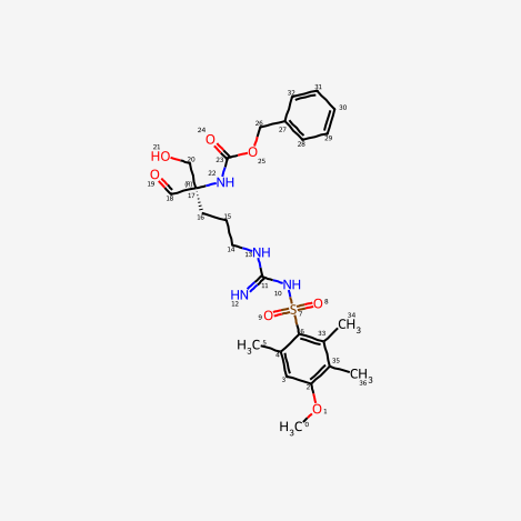 COc1cc(C)c(S(=O)(=O)NC(=N)NCCC[C@](C=O)(CO)NC(=O)OCc2ccccc2)c(C)c1C